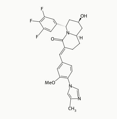 COc1cc(/C=C2\CC[C@@H]3C[C@H](O)C[C@@H](c4cc(F)c(F)c(F)c4)N3C2=O)ccc1-n1cnc(C)c1